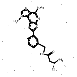 CC[C@@H](N)CC(=O)NCc1cccc(-c2nc3c(nc(NC)c4ncn(C)c43)o2)c1